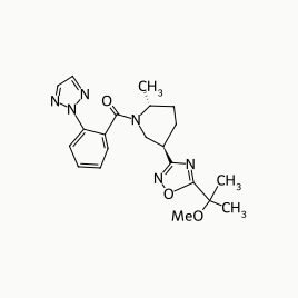 COC(C)(C)c1nc([C@@H]2CC[C@@H](C)N(C(=O)c3ccccc3-n3nccn3)C2)no1